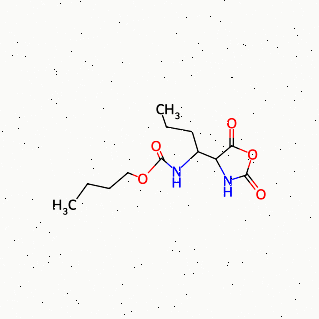 CCCCOC(=O)NC(CCC)C1NC(=O)OC1=O